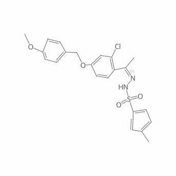 COc1ccc(COc2ccc(/C(C)=N\NS(=O)(=O)c3ccc(C)cc3)c(Cl)c2)cc1